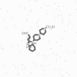 CCOC(=O)N1CCC(N2CCC(N3C(/C=C/C=O)=N[C@H]4CCCC[C@@H]43)CC2)CC1